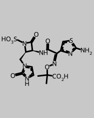 CC(C)(ON=C(C(=O)N[C@@H]1C(=O)N(S(=O)(=O)O)[C@@H]1Cn1cc[nH]c1=O)c1csc(N)n1)C(=O)O